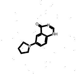 O=c1nc[nH]c2ccc(N3CCCC3)cc12